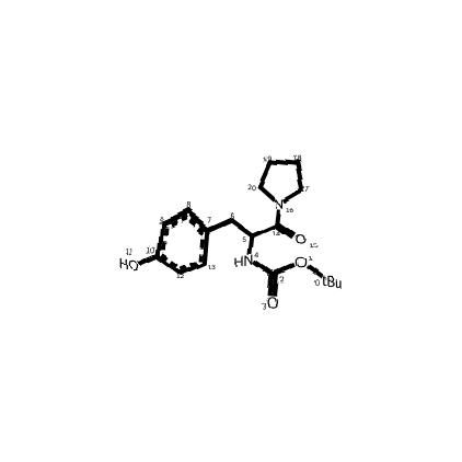 CC(C)(C)OC(=O)NC(Cc1ccc(O)cc1)C(=O)N1CCCC1